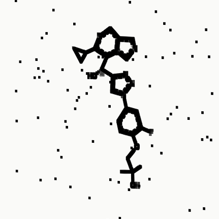 CC(C)(O)COc1ccc(-n2cc([C@H](O)c3c(C4CC4)ncc4cncn34)nn2)cc1F